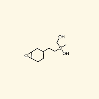 C[Si](O)(CO)CCC1CCC2OC2C1